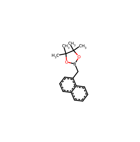 CC1(C)OB(Cc2cccc3ccccc23)OC1(C)C